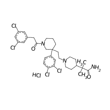 CC(C)(C(N)=O)C1CCN(CCC2(c3ccc(Cl)c(Cl)c3)CCCN(C(=O)Cc3cc(Cl)cc(Cl)c3)C2)CC1.Cl